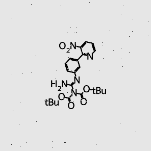 CC(C)(C)OC(=O)N(C(=O)OC(C)(C)C)C(N)=Nc1cccc(-c2ncccc2[N+](=O)[O-])c1